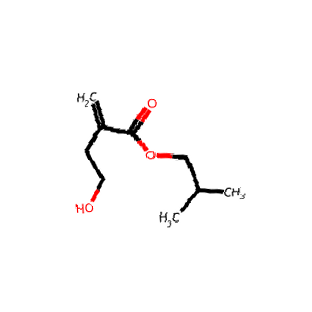 C=C(CCO)C(=O)OCC(C)C